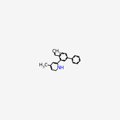 C=Cc1ccc(-c2ccccc2)cc1C1=CC(C)=CCN1